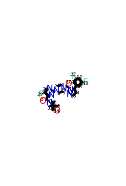 O=C(c1nc(N2CCN(C(=O)N3N=CCC3c3cc(F)cc(F)c3)CC2)ncc1F)N1CC2(COC2)C1